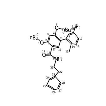 CCCCOc1cc(OCCCC)c(-c2cc(C(C)C)ccc2C)cc1C(=O)NCCc1ccccc1